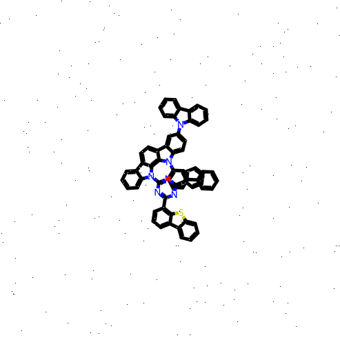 c1ccc(-c2cccc(-n3c4ccc(-n5c6ccccc6c6ccccc65)cc4c4ccc5c6ccccc6n(-c6nc(-c7ccccc7)nc(-c7cccc8c7sc7ccccc78)n6)c5c43)c2)cc1